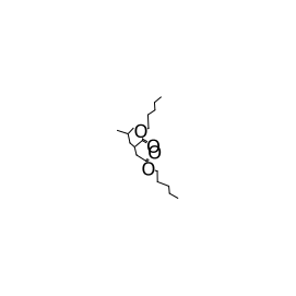 CCCCCOC(=O)CC(CC(C)C)C(=O)OCCCCC